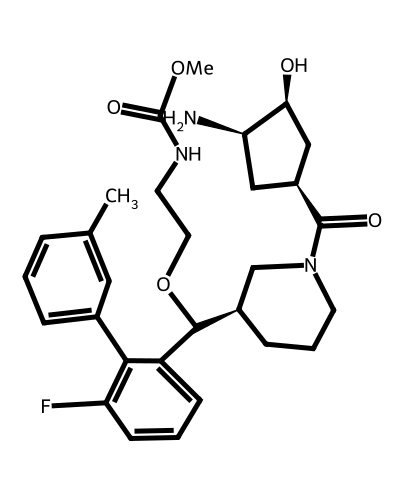 COC(=O)NCCOC(c1cccc(F)c1-c1cccc(C)c1)[C@@H]1CCCN(C(=O)[C@H]2C[C@@H](N)[C@@H](O)C2)C1